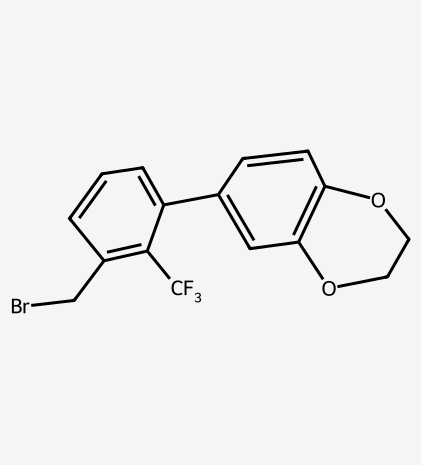 FC(F)(F)c1c(CBr)cccc1-c1ccc2c(c1)OCCO2